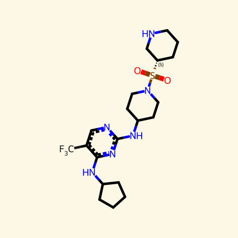 O=S(=O)([C@H]1CCCNC1)N1CCC(Nc2ncc(C(F)(F)F)c(NC3CCCC3)n2)CC1